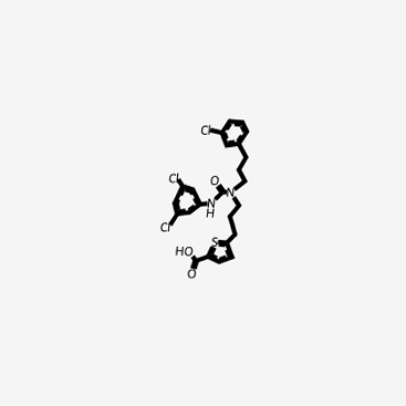 O=C(O)c1ccc(CCCN(CCCc2cccc(Cl)c2)C(=O)Nc2cc(Cl)cc(Cl)c2)s1